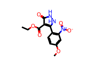 CCOC(=O)c1c(-c2ccc(OC)cc2[N+](=O)[O-])[nH][nH]c1=O